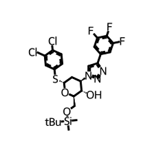 CC(C)(C)[Si](C)(C)OC[C@H]1O[C@H](Sc2ccc(Cl)c(Cl)c2)C[C@@H](n2cc(-c3cc(F)c(F)c(F)c3)nn2)[C@@H]1O